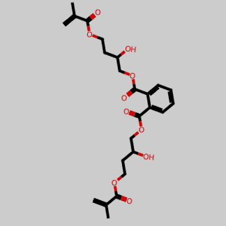 C=C(C)C(=O)OCCC(O)COC(=O)c1ccccc1C(=O)OCC(O)CCOC(=O)C(=C)C